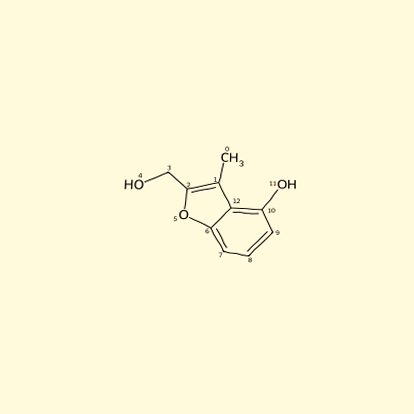 Cc1c(CO)oc2cccc(O)c12